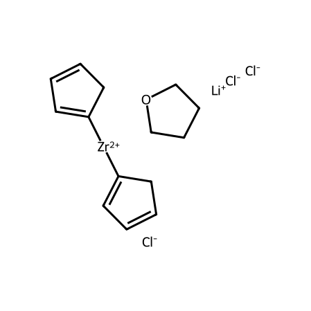 C1=CC[C]([Zr+2][C]2=CC=CC2)=C1.C1CCOC1.[Cl-].[Cl-].[Cl-].[Li+]